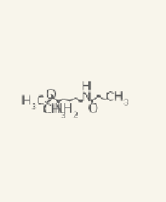 CCCC(=O)NCCCCC(N)C(=O)C(C)C